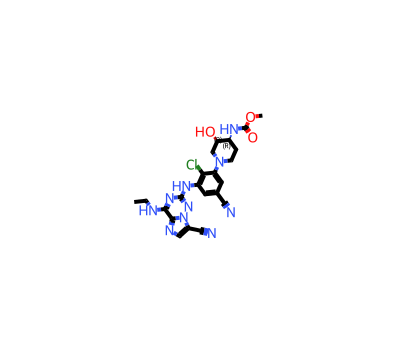 CCNc1nc(Nc2cc(C#N)cc(N3CC[C@@H](NC(=O)OC)[C@H](O)C3)c2Cl)nn2c(C#N)cnc12